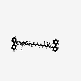 OC(CCCCCCCCCCCSSCC(O)COc1ccccc1-c1ccccc1)COc1ccccc1-c1ccccc1